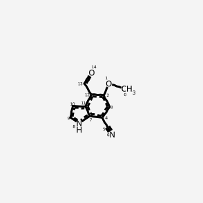 COc1cc(C#N)c2[nH]ccc2c1C=O